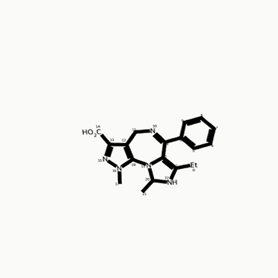 CCC1=C2C(c3ccccc3)=NCc3c(C(=O)O)nn(C)c3N2C(C)N1